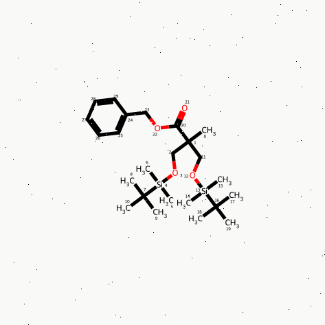 CC(CO[Si](C)(C)C(C)(C)C)(CO[Si](C)(C)C(C)(C)C)C(=O)OCc1ccccc1